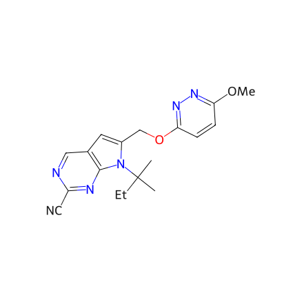 CCC(C)(C)n1c(COc2ccc(OC)nn2)cc2cnc(C#N)nc21